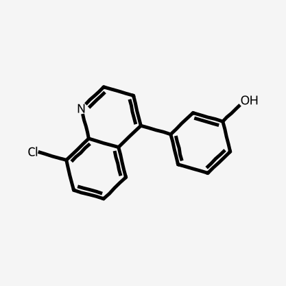 Oc1cccc(-c2ccnc3c(Cl)cccc23)c1